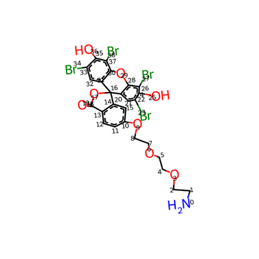 NCCOCCOCCOc1ccc2c(c1)C1(OC2=O)c2cc(Br)c(O)c(Br)c2Oc2c1cc(Br)c(O)c2Br